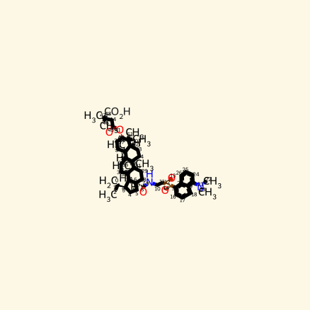 C=C(C)[C@@H]1CC[C@]2(C(=O)NCCS(=O)(=O)c3cccc4c(N(C)C)cccc34)CC[C@]3(C)[C@H](CC[C@@H]4[C@@]5(C)CC[C@H](OC(=O)CC(C)(C)C(=O)O)C(C)(C)[C@@H]5CC[C@]43C)[C@@H]12